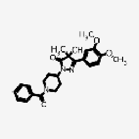 COc1ccc(C2=NN(C3CCN(C(=O)c4cc[c]cc4)CC3)C(=O)C2(C)C)cc1OC